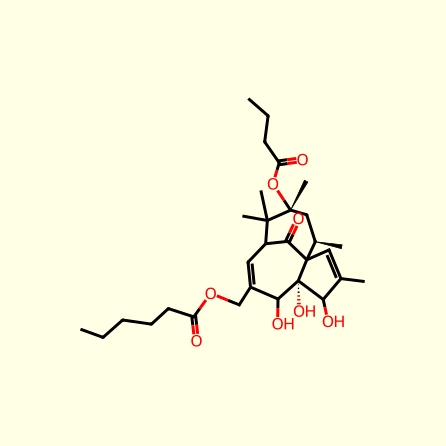 CCCCCC(=O)OCC1=CC2C(=O)C3(C=C(C)C(O)[C@@]3(O)C1O)[C@H](C)C[C@@](C)(OC(=O)CCC)C2(C)C